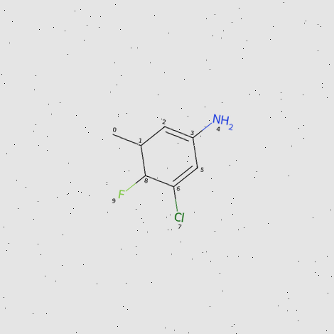 CC1C=C(N)C=C(Cl)C1F